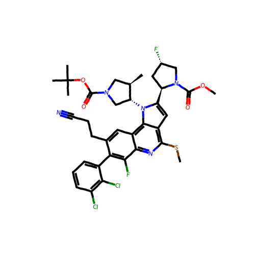 COC(=O)N1C[C@@H](F)C[C@@H]1c1cc2c(SC)nc3c(F)c(-c4cccc(Cl)c4Cl)c(CCC#N)cc3c2n1[C@@H]1CN(C(=O)OC(C)(C)C)C[C@H]1C